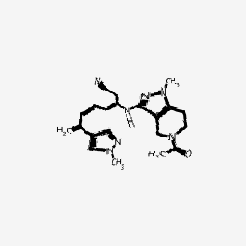 C=C(/C=C\C=C(/CC#N)Nc1nn(C)c2c1CN(C(C)=O)CC2)c1cnn(C)c1